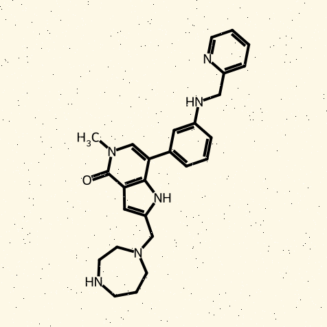 Cn1cc(-c2cccc(NCc3ccccn3)c2)c2[nH]c(CN3CCCNCC3)cc2c1=O